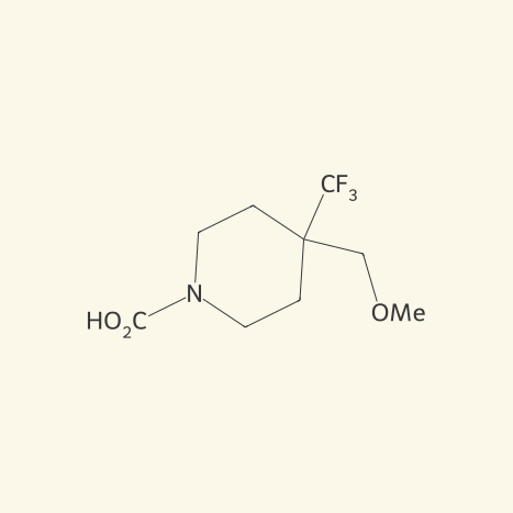 COCC1(C(F)(F)F)CCN(C(=O)O)CC1